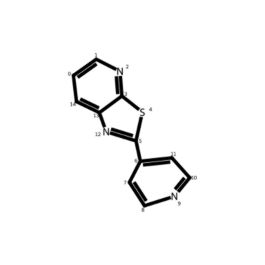 c1cnc2sc(-c3ccncc3)nc2c1